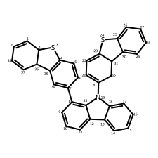 C1=CC2Sc3ccc(-c4cccc5c6ccccc6n(C6=CC=C7Sc8ccccc8C7C6)c45)cc3C2C=C1